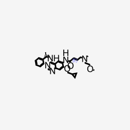 COCCN(C)C/C=C/C(=O)Nc1cc2c(N[C@H](C)c3ccccc3)ncnc2cc1OCC1CC1